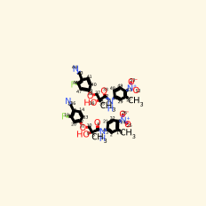 Cc1cc(NC(=O)C(C)(O)COc2ccc(C#N)c(F)c2)ccc1[N+](=O)[O-].Cc1cc(NC(=O)C(C)(O)COc2ccc(C#N)c(F)c2)ccc1[N+](=O)[O-]